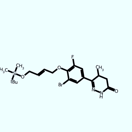 CC1CC(=O)NN=C1c1cc(F)c(OCC=CCO[Si](C)(C)C(C)(C)C)c(Br)c1